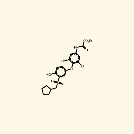 CCOC(=O)C(=O)Nc1cc(Cl)c(Oc2ccc(O)c(S(=O)(=O)CC3CCCC3)c2)c(Cl)c1